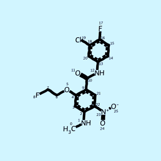 CNc1cc(OCCF)c(C(=O)Nc2ccc(F)c(Cl)c2)cc1[N+](=O)[O-]